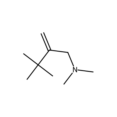 C=C(CN(C)C)C(C)(C)C